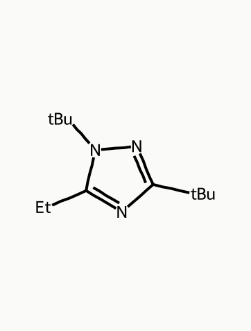 CCc1nc(C(C)(C)C)nn1C(C)(C)C